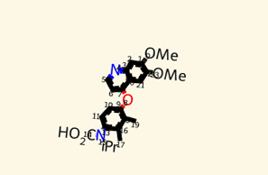 COc1cc2nccc(Oc3ccc(N(C(=O)O)C(C)C)c(C)c3C)c2cc1OC